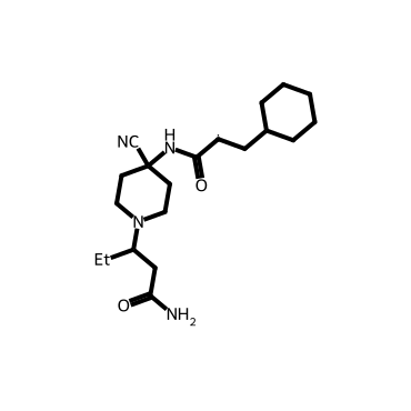 CCC(CC(N)=O)N1CCC(C#N)(NC(=O)[CH]CC2CCCCC2)CC1